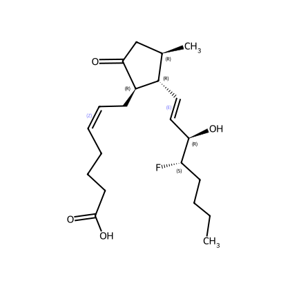 CCCC[C@H](F)[C@H](O)/C=C/[C@H]1[C@H](C)CC(=O)[C@@H]1C/C=C\CCCC(=O)O